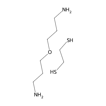 NCCCOCCCN.SCCS